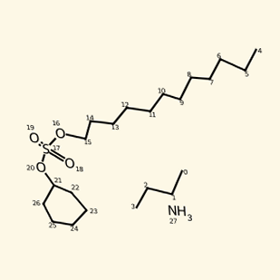 CCCC.CCCCCCCCCCCCOS(=O)(=O)OC1CCCCC1.N